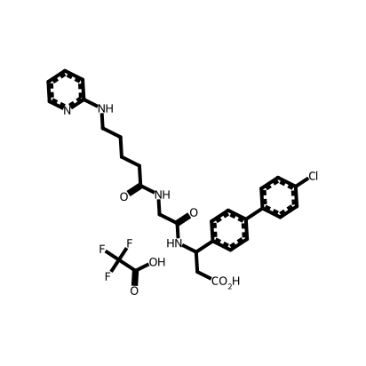 O=C(O)C(F)(F)F.O=C(O)CC(NC(=O)CNC(=O)CCCCNc1ccccn1)c1ccc(-c2ccc(Cl)cc2)cc1